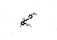 CCCCC1CCN(CCCC(=O)c2ccc(F)cc2CN)CC1